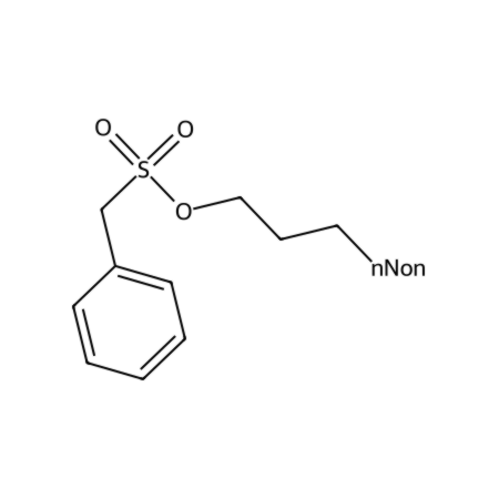 CCCCCCCCCCCCOS(=O)(=O)Cc1ccccc1